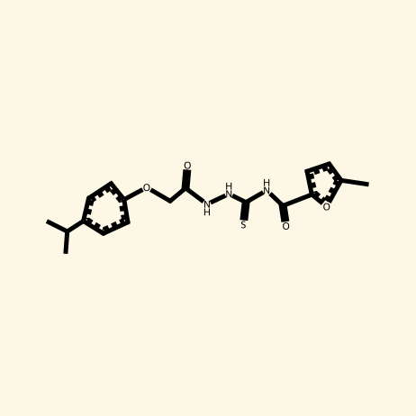 Cc1ccc(C(=O)NC(=S)NNC(=O)COc2ccc(C(C)C)cc2)o1